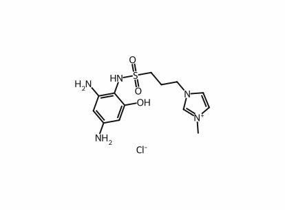 C[n+]1ccn(CCCS(=O)(=O)Nc2c(N)cc(N)cc2O)c1.[Cl-]